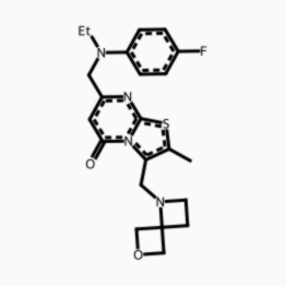 CCN(Cc1cc(=O)n2c(CN3CCC34COC4)c(C)sc2n1)c1ccc(F)cc1